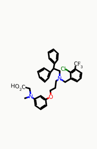 CN(CC(=O)O)c1cccc(OCCCN(Cc2cccc(C(F)(F)F)c2Cl)CC(c2ccccc2)c2ccccc2)c1